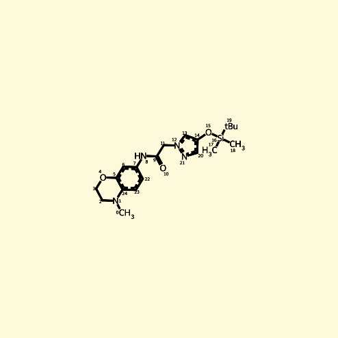 CN1CCOc2cc(NC(=O)Cn3cc(O[Si](C)(C)C(C)(C)C)cn3)ccc21